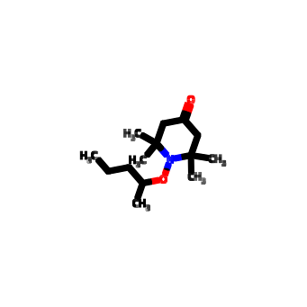 CCCC(C)ON1C(C)(C)CC(=O)CC1(C)C